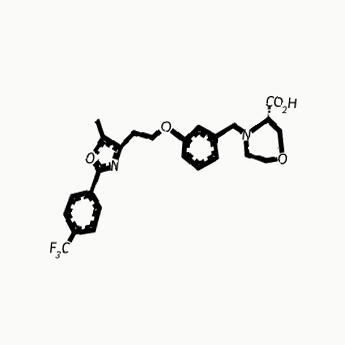 Cc1oc(-c2ccc(C(F)(F)F)cc2)nc1CCOc1cccc(CN2CCOC[C@H]2C(=O)O)c1